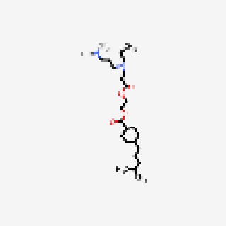 CCCN(CCCN(C)C)CCC(=O)OCCOC(=O)C1CCC(CCCC(C)C)CC1